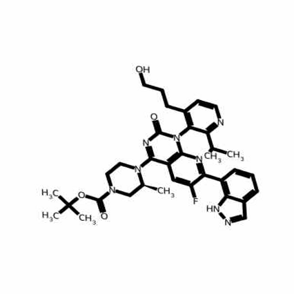 CC(C)c1nccc(CCCO)c1-n1c(=O)nc(N2CCN(C(=O)OC(C)(C)C)C[C@@H]2C)c2cc(F)c(-c3cccc4cn[nH]c34)nc21